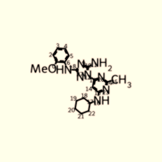 COc1ccccc1Nc1nc(N)n(-c2cc(NC3CCCCC3)nc(C)n2)n1